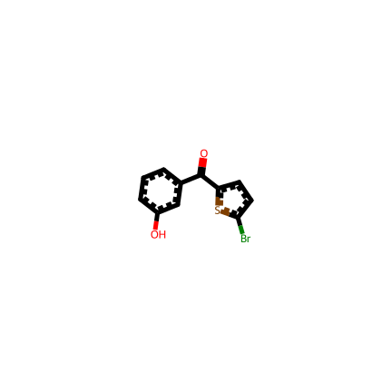 O=C(c1cccc(O)c1)c1ccc(Br)s1